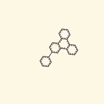 [c]1c(-c2ccccc2)ccc2c1c1ccccc1c1ccccc21